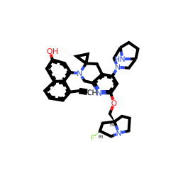 C#Cc1cccc2cc(O)cc(N3Cc4nc(OC[C@@]56CCCN5C[C@H](F)C6)cc(N5CC6CCC(C5)N6)c4CC34CC4)c12